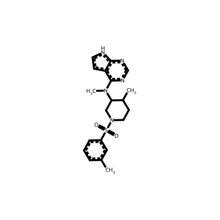 Cc1cccc(S(=O)(=O)N2CCC(C)C(N(C)c3ncnc4[nH]ccc34)C2)c1